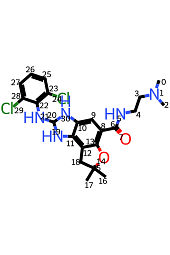 CN(C)CCNC(=O)c1cc2c(c3c1OC(C)(C)C3)NC(Nc1c(Cl)cccc1Cl)N2